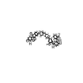 COc1cc(N2CCC(CN3CCN(c4ccc5c(c4)C(=O)N(C4CCC(=O)NC4=O)C5=O)CC3)CC2)ccc1Nc1ncc(Cl)c(Nc2ccccc2P(C)C)n1